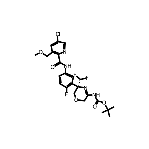 COCc1cc(Cl)cnc1C(=O)Nc1ccc(F)c([C@]2(C(F)F)COCC(NC(=O)OC(C)(C)C)=N2)c1